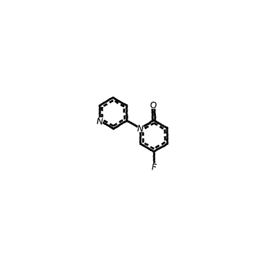 O=c1ccc(F)cn1-c1cccnc1